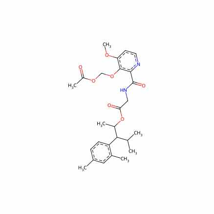 COc1ccnc(C(=O)NCC(=O)OC(C)C(c2ccc(C)cc2C)C(C)C)c1OCOC(C)=O